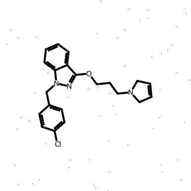 Clc1ccc(Cn2nc(OCCCN3CC=CC3)c3ccccc32)cc1